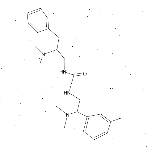 CN(C)C(CNC(=O)NCC(c1cccc(F)c1)N(C)C)Cc1ccccc1